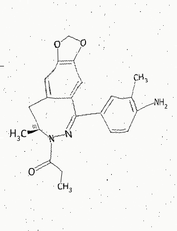 CCC(=O)N1N=C(c2ccc(N)c(C)c2)c2cc3c(cc2C[C@@H]1C)OCO3